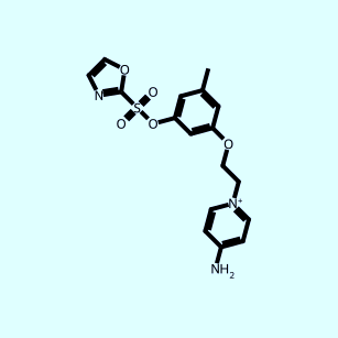 Cc1cc(OCC[n+]2ccc(N)cc2)cc(OS(=O)(=O)c2ncco2)c1